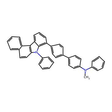 CN(c1ccccc1)c1ccc(-c2ccc(-c3cccc4c5c6ccccc6ccc5n(-c5ccccc5)c34)cc2)cc1